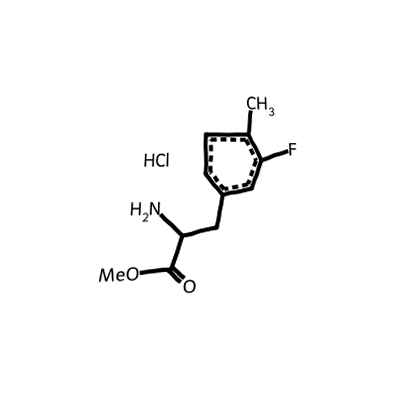 COC(=O)C(N)Cc1ccc(C)c(F)c1.Cl